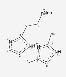 CCCCCCCCCCCc1ncc[nH]1.Cc1c[nH]c(C)n1